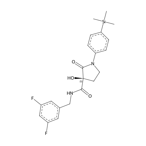 C[Si](C)(C)c1ccc(N2CC[C@](O)(C(=O)NCc3cc(F)cc(F)c3)C2=O)cc1